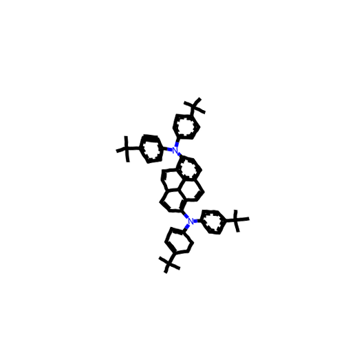 CC(C)(C)C1=CC=C(N(C2=C3C=Cc4ccc(N(c5c#cc(C(C)(C)C)cc5)c5ccc(C(C)(C)C)cc5)c5c4C3C(C=C2)C=C5)c2ccc(C(C)(C)C)cc2)CC1